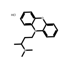 CC(CCN1c2ccccc2Oc2ccccc21)N(C)C.Cl